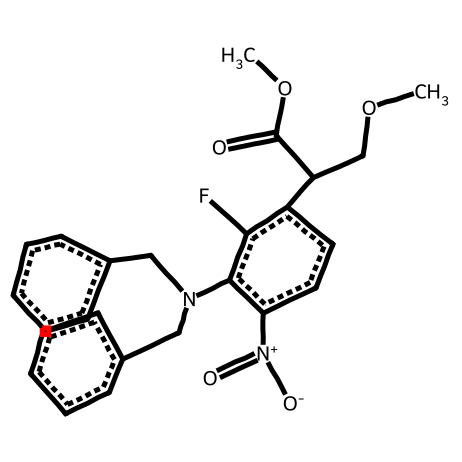 COCC(C(=O)OC)c1ccc([N+](=O)[O-])c(N(Cc2ccccc2)Cc2ccccc2)c1F